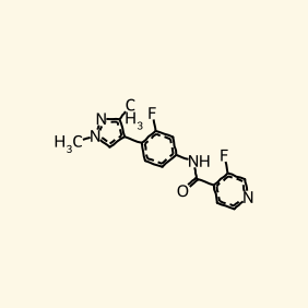 Cc1nn(C)cc1-c1ccc(NC(=O)c2ccncc2F)cc1F